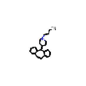 N#CCCCN1CCC(=C2c3ccccc3C=Cc3ccccc32)CC1